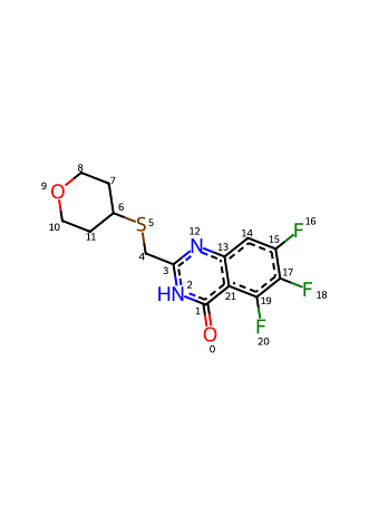 O=c1[nH]c(CSC2CCOCC2)nc2cc(F)c(F)c(F)c12